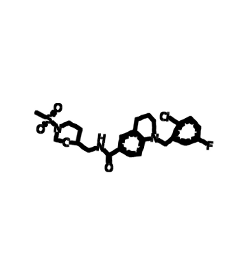 CS(=O)(=O)N1CCC(CNC(=O)c2ccc3c(c2)CCCN3Cc2cc(F)ccc2Cl)CC1